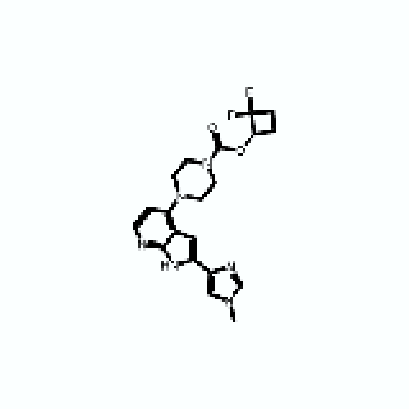 Cn1cnc(-c2cc3c(N4CCN(C(=O)O[C@@H]5CCC5(F)F)CC4)ccnc3[nH]2)c1